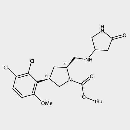 COc1ccc(Cl)c(Cl)c1[C@H]1C[C@@H](CNC2CNC(=O)C2)N(C(=O)OC(C)(C)C)C1